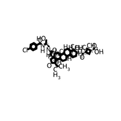 CC(C)C1=C2[C@H]3CC[C@@H]4[C@@]5(C)CC[C@H](OC(=O)[C@H]6C[C@@H](C(=O)O)C6(C)C)C(C)(C)[C@@H]5CC[C@@]4(C)[C@]3(C)CC[C@@]2(CC(=O)NC[C@H](CO)NC(=O)c2ccc(Cl)cc2)CC1=O